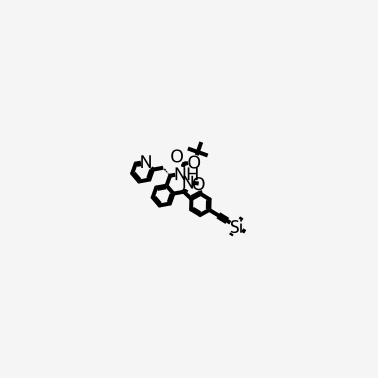 CC(C)(C)OC(=O)N[C@@H](Cc1ccccn1)c1ccccc1-c1noc2cc(C#C[Si](C)(C)C)ccc12